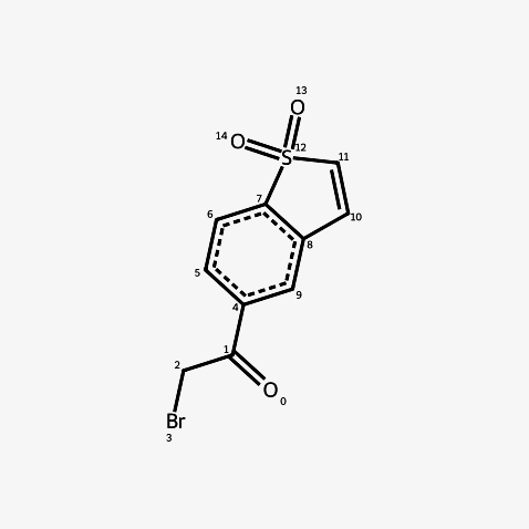 O=C(CBr)c1ccc2c(c1)C=CS2(=O)=O